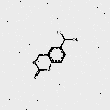 CC(C)c1ccc2c(c1)CNC(=O)N2